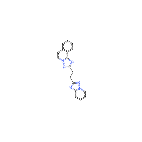 c1ccc2c(c1)ccn1nc(CCc3nc4ccccn4n3)nc21